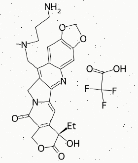 CC[C@@]1(O)C(=O)OCc2c1cc1n(c2=O)Cc2c-1nc1cc3c(cc1c2CN(C)CCCN)OCO3.O=C(O)C(F)(F)F